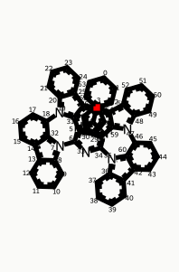 c1ccc(-c2nc(-n3c4ccccc4c4cccc(-n5c6ccccc6c6ccccc65)c43)nc(-n3c4ccccc4c4cccc(-n5c6ccccc6c6ccccc65)c43)n2)cc1